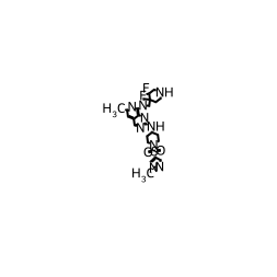 Cc1cc2cnc(NC3CCN(S(=O)(=O)c4cnn(C)c4)CC3)nc2c(N2CC3(CCNCC3(F)F)C2)n1